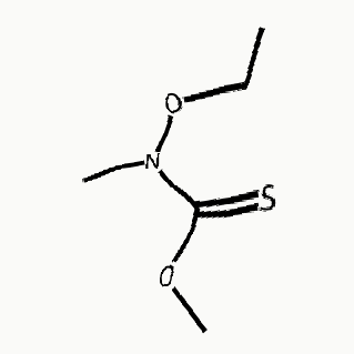 CCON(C)C(=S)OC